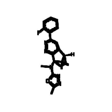 Cc1nnc(N(C)[C@@]23CC[C@@H](c4cc(-c5ccccc5F)nnc42)C3(C)C)o1